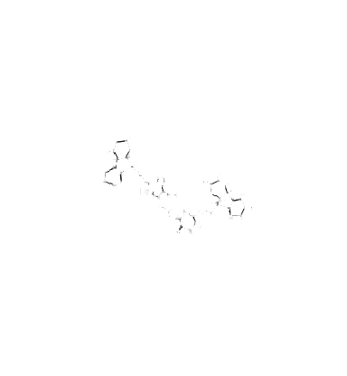 O=C(N[C@@H](COC[C@H](NC(=O)OCC1c2ccccc2-c2ccccc21)C(=O)O)C(=O)O)OCC1c2ccccc2-c2ccccc21